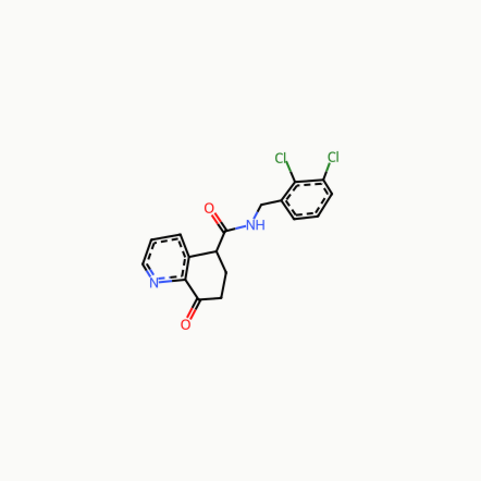 O=C1CCC(C(=O)NCc2cccc(Cl)c2Cl)c2cccnc21